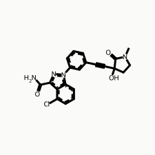 CN1CCC(O)(C#Cc2cccc(-n3nc(C(N)=O)c4c(Cl)cccc43)c2)C1=O